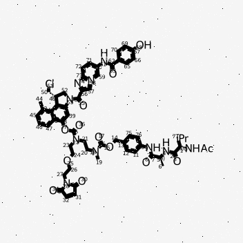 CC(=O)N[C@H](C(=O)N[C@@H](C)C(=O)Nc1ccc(COC(=O)N(C)CCN(CCOCCN2C(=O)C=CC2=O)C(=O)Oc2cc3c(c4c(C)cccc24)[C@H](CCl)CN3C(=O)c2cn3cc(NC(=O)c4ccc(O)cc4)ccc3n2)cc1)C(C)C